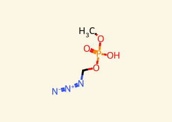 COP(=O)(O)OCN=[N+]=[N-]